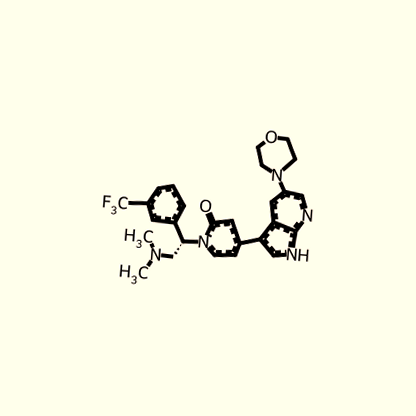 CN(C)C[C@H](c1cccc(C(F)(F)F)c1)n1ccc(-c2c[nH]c3ncc(N4CCOCC4)cc23)cc1=O